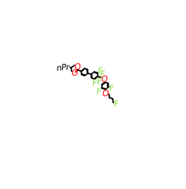 CCCC1COC(c2ccc(-c3cc(F)c(C(F)(F)Oc4cc(F)c(OCCCCF)c(F)c4)c(F)c3)cc2)OC1